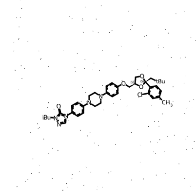 CCC(C)n1ncn(-c2ccc(N3CCN(c4ccc(OC[C@H]5CO[C@](CC(C)(C)C)(c6ccc(C)cc6Cl)O5)cc4)CC3)cc2)c1=O